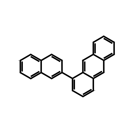 [c]1ccc2cc(-c3cc[c]c4cc5ccccc5cc34)ccc2c1